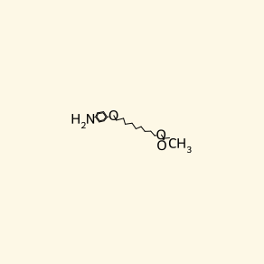 CCC(=O)OCCCCCCCCCOc1ccc(N)cc1